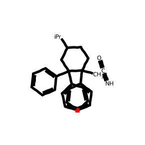 CC(C)C1CCC(C)(c2ccccc2)C(c2ccccc2)(c2ccccc2)C1.N=C=O